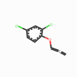 C=C=COc1ccc(Cl)cc1Cl